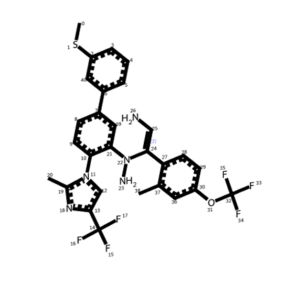 CSc1cccc(-c2ccc(-n3cc(C(F)(F)F)nc3C)c(N(N)/C(=C\N)c3ccc(OC(F)(F)F)cc3C)c2)c1